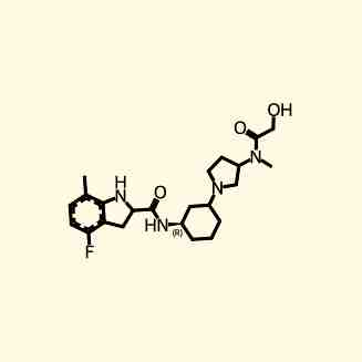 Cc1ccc(F)c2c1NC(C(=O)N[C@@H]1CCCC(N3CCC(N(C)C(=O)CO)C3)C1)C2